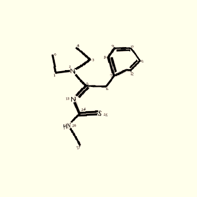 CCN(CC)/C(Cc1ccccc1)=N/C(=S)NC